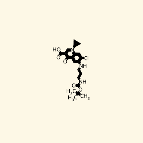 CC(C)(C)OC(=O)NCCCNc1cc2c(=O)c(C(=O)O)cn(C3CC3)c2cc1Cl